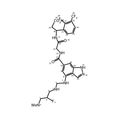 CNCC(F)CNCNc1cc(C(=O)NCC(=O)NC(CC(=O)O)c2cccc(C(F)(F)F)c2F)cc2[nH]ncc12